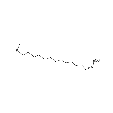 CCCCCCCC/C=C\CCCCCCCCCCCCP(C)C